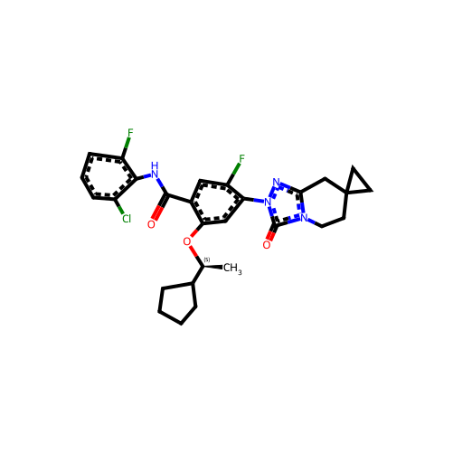 C[C@H](Oc1cc(-n2nc3n(c2=O)CCC2(CC2)C3)c(F)cc1C(=O)Nc1c(F)cccc1Cl)C1CCCC1